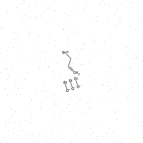 C=C[CH2][Sn+3].CC[O-].CC[O-].CC[O-]